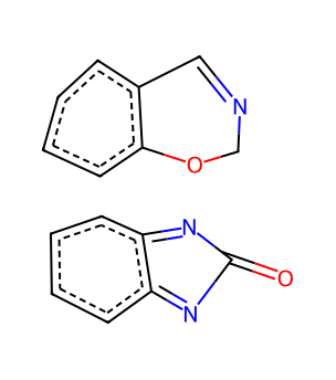 C1=NCOc2ccccc21.O=C1N=c2ccccc2=N1